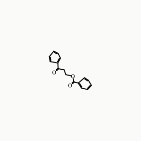 O=C(CCOC(=O)c1ccccc1)c1ccccc1